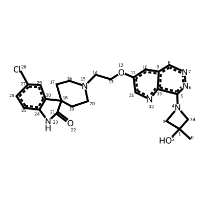 CC1(O)CN(c2nncc3cc(OCCN4CCC5(CC4)C(=O)Nc4ccc(Cl)cc45)cnc23)C1